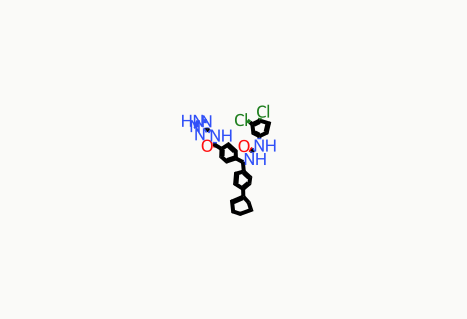 O=C(Nc1ccc(Cl)c(Cl)c1)NC(c1ccc(C(=O)Nc2nn[nH]n2)cc1)c1ccc(C2=CCCCC2)cc1